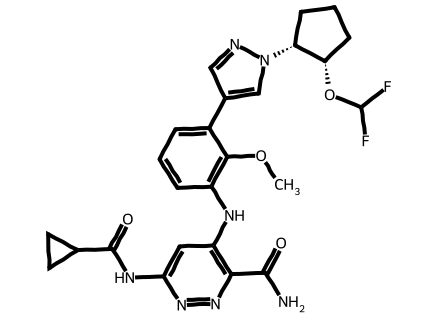 COc1c(Nc2cc(NC(=O)C3CC3)nnc2C(N)=O)cccc1-c1cnn([C@@H]2CCC[C@@H]2OC(F)F)c1